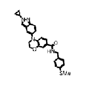 CSc1ccc(CNC(=O)c2ccc3c(c2)OCCN3c2ccc3nn(C4CC4)cc3c2)cc1